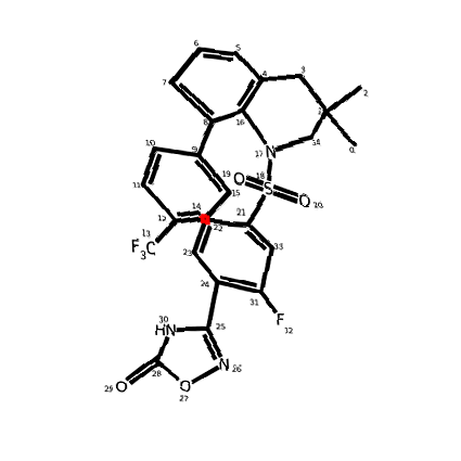 CC1(C)Cc2cccc(-c3ccc(C(F)(F)F)cc3)c2N(S(=O)(=O)c2ccc(-c3noc(=O)[nH]3)c(F)c2)C1